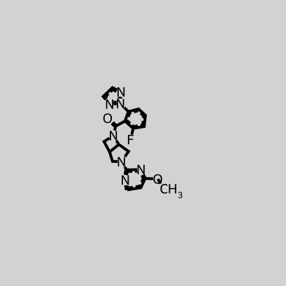 COc1ccnc(N2CC3CN(C(=O)c4c(F)cccc4-n4nccn4)C3C2)n1